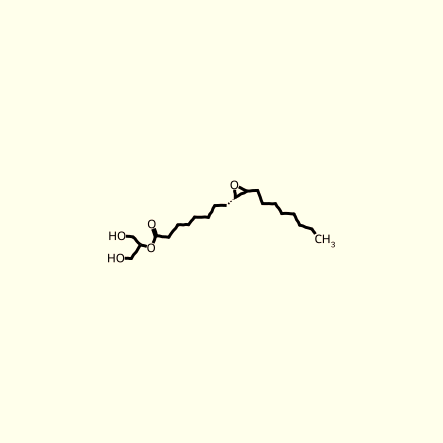 CCCCCCCCC1O[C@H]1CCCCCCCC(=O)OC(CO)CO